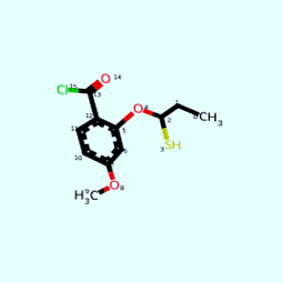 CCC(S)Oc1cc(OC)ccc1C(=O)Cl